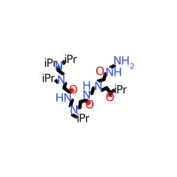 CC(C)CN(CCNC(=O)CCN(CCN(CC(C)C)C(C)C)CC(C)C)CCC(=O)NCCN(CCC(=O)NCCN)CCC(=O)C(C)C